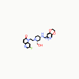 C=C(/C=C1/OCCO/C1=C/N)CN[C@H]1CCN(CCn2c(=O)ccc3ncc(F)cc32)[C@@H](CO)C1